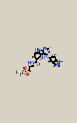 CS(=O)(=O)CCCNC(=O)C1CCc2[nH]c3ncnc(Nc4ccc5[nH]ncc5c4)c3c2C1